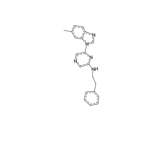 Cc1ccc2ncn(-c3cncc(NCCc4ccccc4)n3)c2c1